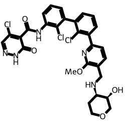 COc1nc(-c2cccc(-c3cccc(NC(=O)c4c(Cl)cn[nH]c4=O)c3Cl)c2Cl)ccc1CN[C@@H]1CCOC[C@@H]1O